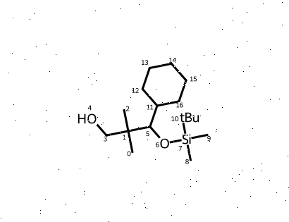 CC(C)(CO)C(O[Si](C)(C)C(C)(C)C)C1CCCCC1